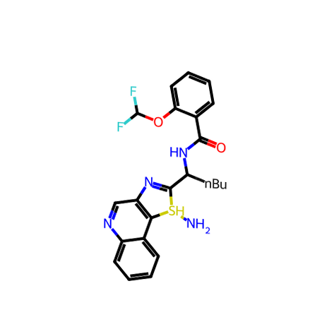 CCCCC(NC(=O)c1ccccc1OC(F)F)C1=Nc2cnc3ccccc3c2[SH]1N